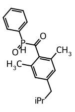 Cc1cc(CC(C)C)cc(C)c1C(=O)[PH](=O)c1ccccc1